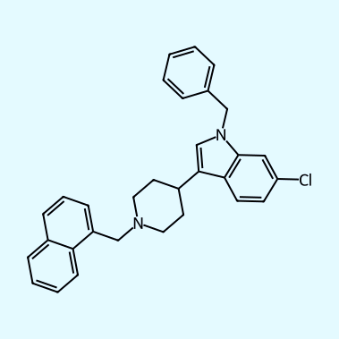 Clc1ccc2c(C3CCN(Cc4cccc5ccccc45)CC3)cn(Cc3ccccc3)c2c1